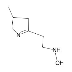 CC1CN=C(CCNO)C1